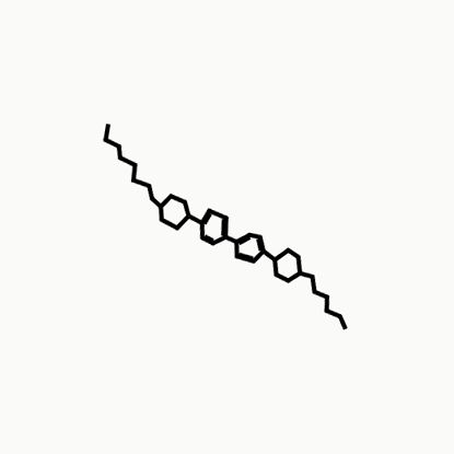 CCCCCCCCC1CCC(c2ccc(-c3ccc(C4CCC(CCCCCC)CC4)cc3)cc2)CC1